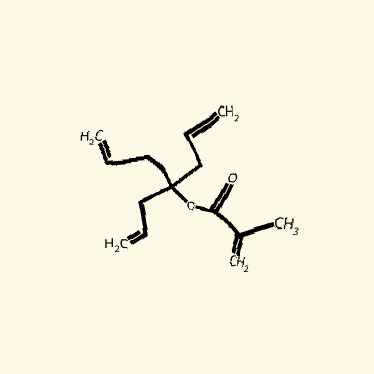 C=CCC(CC=C)(CC=C)OC(=O)C(=C)C